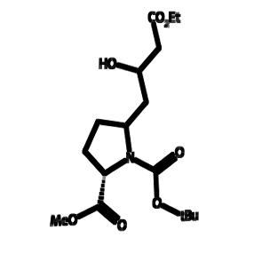 CCOC(=O)CC(O)CC1CC[C@@H](C(=O)OC)N1C(=O)OC(C)(C)C